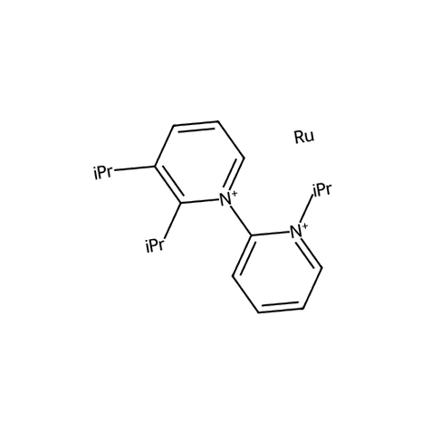 CC(C)c1ccc[n+](-c2cccc[n+]2C(C)C)c1C(C)C.[Ru]